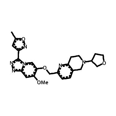 COc1cc2nnc(-c3cc(C)on3)n2cc1OCc1ccc2c(n1)CCN(C1CCOC1)C2